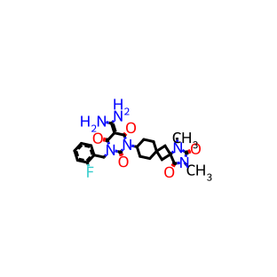 CN1C(=O)N(C)C2(CC3(CCC(N4C(=O)C(=C(N)N)C(=O)N(Cc5ccccc5F)C4=O)CC3)C2)C1=O